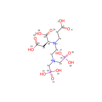 O=C(O)CCN(CCN(CP(=O)(O)O)CP(=O)(O)O)[C@@H](CC(=O)O)C(=O)O